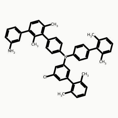 Cc1cccc(C)c1-c1ccc(N(c2ccc(-c3c(C)ccc(-c4cccc(N)c4)c3C)cc2)c2cc(Cl)cc(-c3c(C)cccc3C)c2)cc1